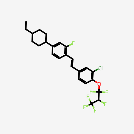 CCC1CCC(c2ccc(C=Cc3ccc(OC(F)(F)C(F)C(F)(F)F)c(Cl)c3)c(F)c2)CC1